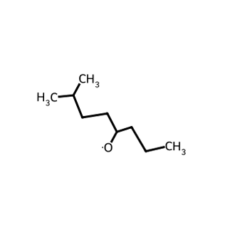 CCCC([O])CCC(C)C